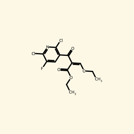 CCOC=C(C(=O)OCC)C(=O)c1cc(F)c(Cl)nc1Cl